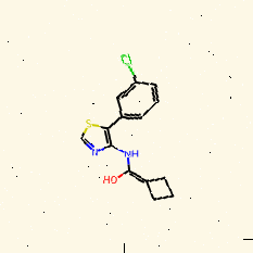 OC(Nc1ncsc1-c1cccc(Cl)c1)=C1CCC1